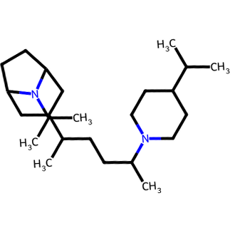 CC(C)C1CCN(C(C)CCC(C)C2CC3CCC(C2)N3C(C)C)CC1